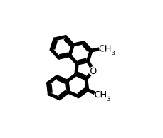 Cc1cc2ccccc2c2c1oc1c(C)cc3ccccc3c12